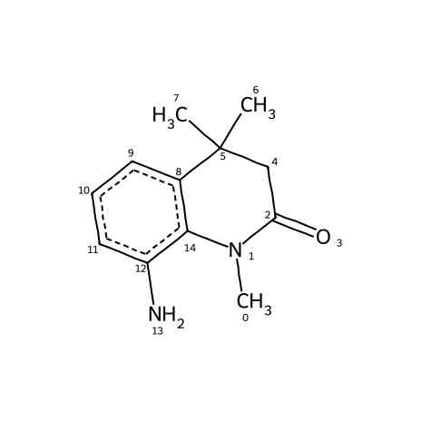 CN1C(=O)CC(C)(C)c2cccc(N)c21